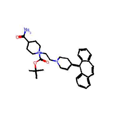 CC(C)(C)OC(=O)[N+]1(CCN2CCC(=C3c4ccccc4C=Cc4ccccc43)CC2)CCC(C(N)=O)CC1